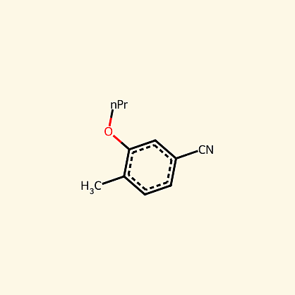 CCCOc1cc(C#N)ccc1C